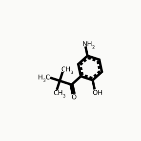 CC(C)(C)C(=O)c1cc(N)ccc1O